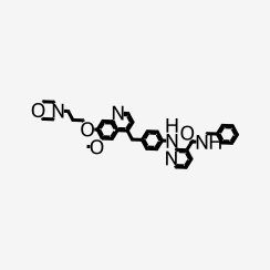 COc1cc2c(Cc3ccc(Nc4ncccc4C(=O)NCc4ccccc4)cc3)ccnc2cc1OCCCN1CCOCC1